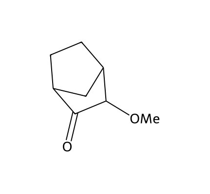 COC1C(=O)C2CCC1C2